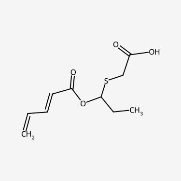 C=CC=CC(=O)OC(CC)SCC(=O)O